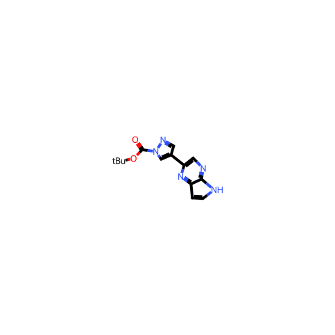 CC(C)(C)OC(=O)n1cc(-c2cnc3[nH]ccc3n2)cn1